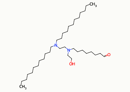 CCCCCCCCCCCCN(CCCCCCCCCCCC)CCN(CCO)CCCCCCCC=O